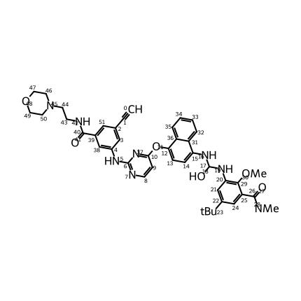 C#Cc1cc(Nc2nccc(Oc3ccc(NC(O)Nc4cc(C(C)(C)C)cc(C(=O)NC)c4OC)c4ccccc34)n2)cc(C(=O)NCCN2CCOCC2)c1